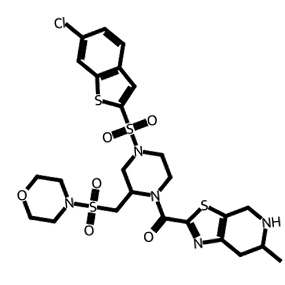 CC1Cc2nc(C(=O)N3CCN(S(=O)(=O)c4cc5ccc(Cl)cc5s4)CC3CS(=O)(=O)N3CCOCC3)sc2CN1